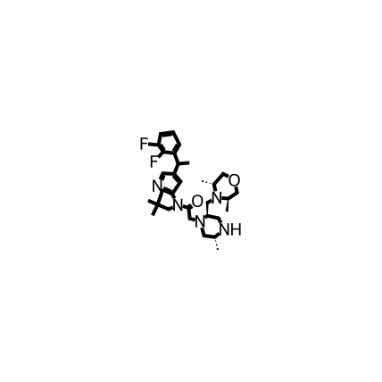 CC(c1cnc2c(c1)N(C(=O)CN1C[C@@H](C)NC[C@@H]1CN1[C@H](C)COC[C@H]1C)CC2(C)C)c1cccc(F)c1F